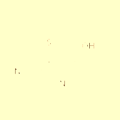 CCC(O)CCC(C#N)(c1sccc1C#N)C(C)C